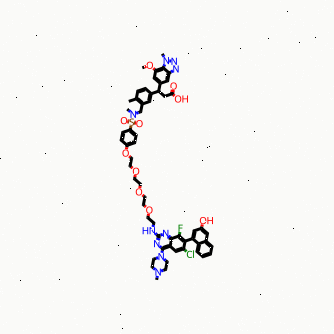 COc1cc(C(CC(=O)O)c2ccc(C)c(CN(C)S(=O)(=O)c3ccc(OCCOCCOCCOCCNc4nc(N5CCN(C)CC5)c5cc(Cl)c(-c6cc(O)cc7ccccc67)c(F)c5n4)cc3)c2)cc2nnn(C)c12